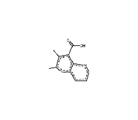 Cc1nc2cccnc2c(C(=O)O)c1C